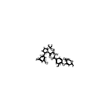 Cc1cc(Oc2ccc(C(=O)N[C@H](C)C(=O)N3C(c4cc(F)cc(Cl)c4)CC[C@@H]3C(C)(C)C#N)cc2C)c(=O)[nH]n1